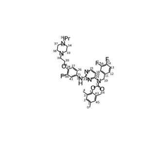 Cc1cc(C)c(OC(=O)N(Cc2ccc(F)c(F)c2)c2ccnc(Nc3ccc(OCCN4CCN(C(C)C)CC4)c(F)c3)n2)c(C)c1